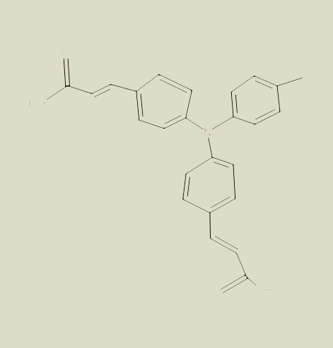 Cc1ccc(N(c2ccc(/C=C/C(=O)O)cc2)c2ccc(/C=C/C(=O)O)cc2)cc1